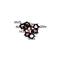 COc1ccc(C(O)(c2ccc(OC)cc2)[C@@H](c2ccccc2)N(C(=O)C2(C(N)=O)CCCCC2)[C@H](c2ccccc2)C(O)(c2ccc(OC)cc2)c2ccc(OC)cc2)cc1